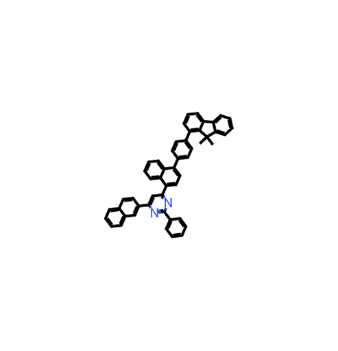 CC1(C)c2ccccc2-c2cccc(-c3ccc(-c4ccc(-c5cc(-c6ccc7ccccc7c6)nc(-c6ccccc6)n5)c5ccccc45)cc3)c21